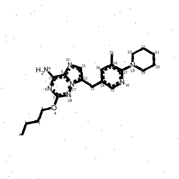 CCCCOc1nc(N)c2ncc(Cc3cnc(N4CCCCC4)c(C)c3)n2n1